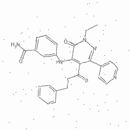 CCn1nc(-c2ccncc2)c(C(=O)CCc2ccccc2)c(Nc2cccc(C(N)=O)c2)c1=O